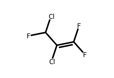 FC(F)=C(Cl)C(F)Cl